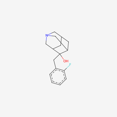 OC1(Cc2ccccc2F)C2CC3CC1CN(C3)C2